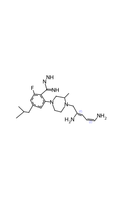 CC(C)Cc1cc(F)c(C(=N)N=N)c(N2CCN(C/C(N)=C/C=C\N)C(C)C2)c1